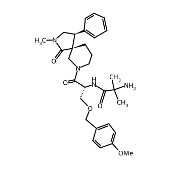 COc1ccc(COC[C@@H](NC(=O)C(C)(C)N)C(=O)N2CCC[C@@]3(C2)C(=O)N(C)C[C@H]3c2ccccc2)cc1